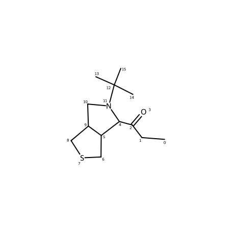 CCC(=O)C1C2CSCC2CN1C(C)(C)C